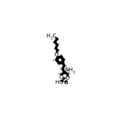 CCCCCCOc1ccc(CCC2(N)COP(=O)(O)OC2)cc1